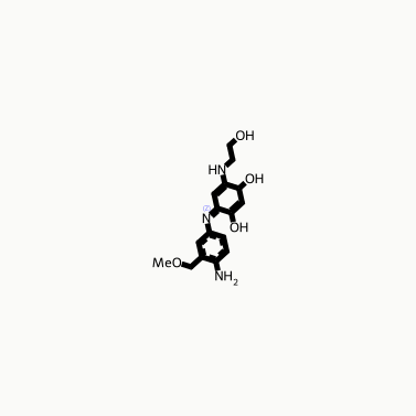 COCc1cc(/N=C2/C=C(NCCO)C(O)C=C2O)ccc1N